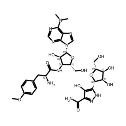 COc1ccc(C[C@H](N)C(=O)N[C@H]2[C@@H](O)[C@H](n3cnc4c(N(C)C)ncnc43)O[C@@H]2CO)cc1.NC(=O)c1n[nH]c([C@@H]2O[C@H](CO)[C@@H](O)[C@H]2O)c1O